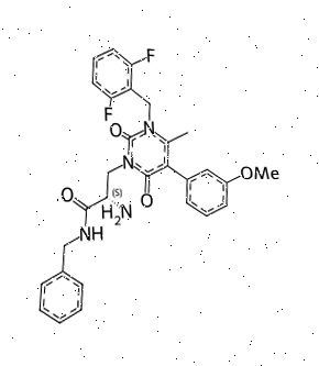 COc1cccc(-c2c(C)n(Cc3c(F)cccc3F)c(=O)n(C[C@H](N)C(=O)NCc3ccccc3)c2=O)c1